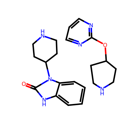 O=c1[nH]c2ccccc2n1C1CCNCC1.c1cnc(OC2CCNCC2)nc1